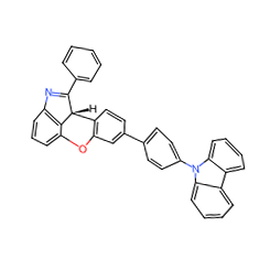 c1ccc(C2=Nc3cccc4c3[C@H]2c2ccc(-c3ccc(-n5c6ccccc6c6ccccc65)cc3)cc2O4)cc1